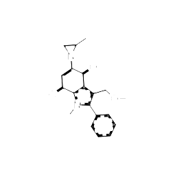 CC1CN1C1=CC(=O)c2c(c(CO)c(-c3ccccc3)n2C)C1=O